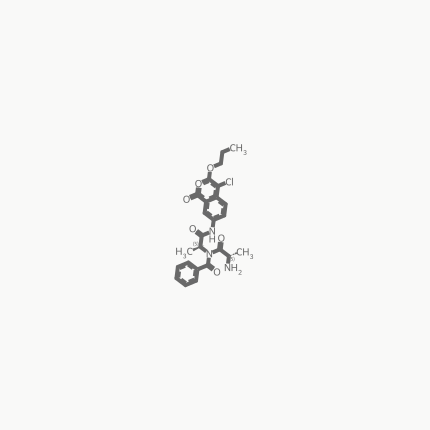 CCCOc1oc(=O)c2cc(NC(=O)[C@H](C)N(C(=O)c3ccccc3)C(=O)[C@H](C)N)ccc2c1Cl